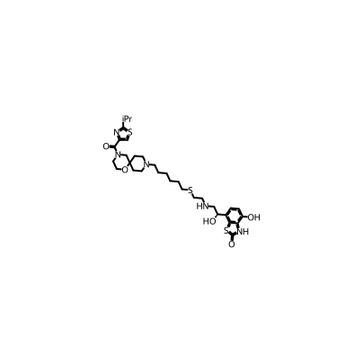 CC(C)c1nc(C(=O)N2CCOC3(CCN(CCCCCCSCCNC[C@H](O)c4ccc(O)c5[nH]c(=O)sc45)CC3)C2)cs1